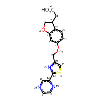 O=C(O)CC1COc2cc(OCc3csc(-c4cnccn4)n3)ccc21